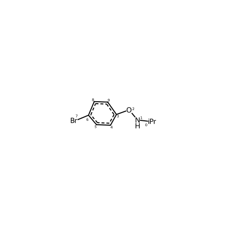 CC(C)NOc1ccc(Br)cc1